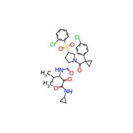 CC(C)C(NC(=O)[C@@H]1C[C@@H](S(=O)(=O)c2ccccc2Cl)CN1C(=O)C1(c2ccc(Cl)cc2)CC1)C(=O)C(=O)NC1CC1